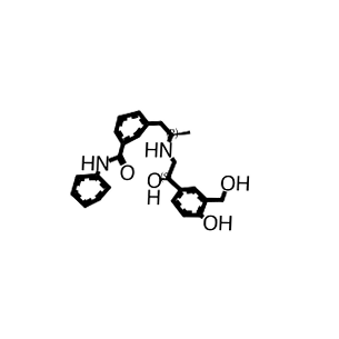 C[C@H](Cc1cccc(C(=O)Nc2ccccc2)c1)NC[C@@H](O)c1ccc(O)c(CO)c1